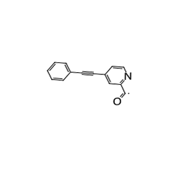 O=[C]c1cc(C#Cc2ccccc2)ccn1